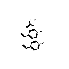 C=C(C)C(=O)[O-].C=Cc1cc[n+](C)cc1.C=Cc1cc[n+](C)cc1.[I-]